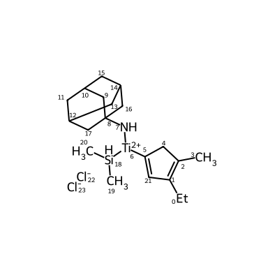 CCC1=C(C)C[C]([Ti+2]([NH]C23CC4CC(CC(C4)C2)C3)[SiH](C)C)=C1.[Cl-].[Cl-]